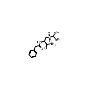 CCCC(CCC)S(=O)(=O)CC(NC(=O)Cc1ccccc1)C(N)=O